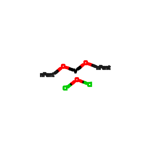 CCCCC[O][V][O]CCCCC.ClOCl